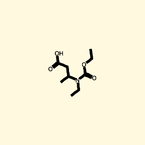 CCOC(=O)N(CC)C(C)CC(=O)O